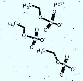 CCOS(=O)(=O)[O-].CCOS(=O)(=O)[O-].CCOS(=O)(=O)[O-].[Ho+3]